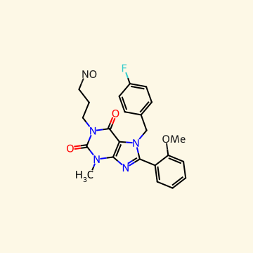 COc1ccccc1-c1nc2c(c(=O)n(CCCN=O)c(=O)n2C)n1Cc1ccc(F)cc1